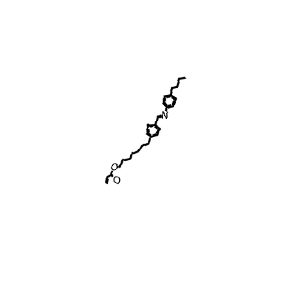 C=CC(=O)OCCCCCCCc1ccc(C=Nc2ccc(CCCC)cc2)cc1